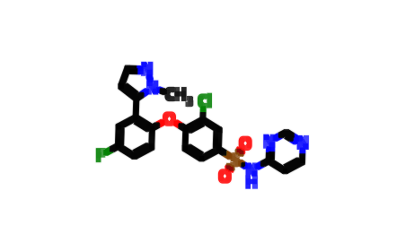 Cn1nccc1-c1cc(F)ccc1Oc1ccc(S(=O)(=O)Nc2ccncn2)cc1Cl